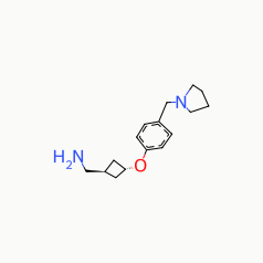 NC[C@H]1C[C@H](Oc2ccc(CN3CCCC3)cc2)C1